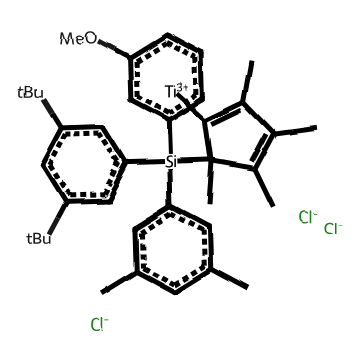 COc1cccc([Si](c2cc(C)cc(C)c2)(c2cc(C(C)(C)C)cc(C(C)(C)C)c2)C2(C)C(C)=C(C)C(C)=[C]2[Ti+3])c1.[Cl-].[Cl-].[Cl-]